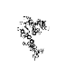 C#CC(C)Oc1cc(N2C(=O)C3=C(CCCC3)C2=O)c(F)cc1Cl.COc1cc(OC)nc(NC(=O)NS(=O)(=O)c2ncccc2C(=O)N(C)C)n1.C[S+](C)C.O=C(Nc1nc(OC(F)F)cc(OC(F)F)n1)NS(=O)(=O)c1ccccc1C(=O)O.O=C(O)CNCP(=O)([O-])O